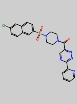 O=C(c1cnc(-c2ccccn2)nn1)N1CCN(S(=O)(=O)c2ccc3cc(Cl)ccc3c2)CC1